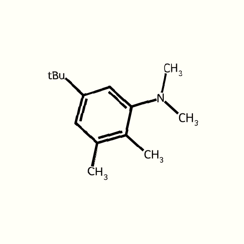 Cc1cc(C(C)(C)C)cc(N(C)C)c1C